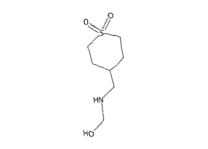 O=S1(=O)CCC(CNCO)CC1